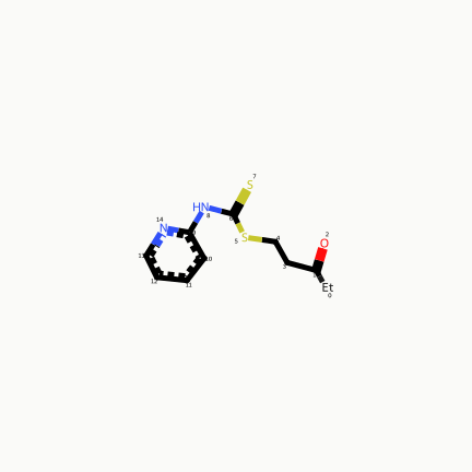 CCC(=O)CCSC(=S)Nc1ccccn1